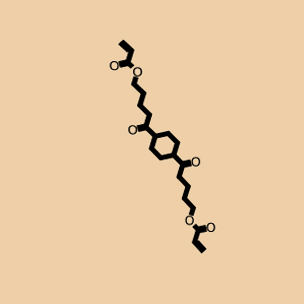 C=CC(=O)OCCCCC(=O)C1CCC(C(=O)CCCCOC(=O)C=C)CC1